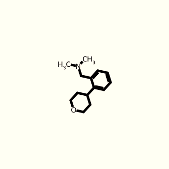 CN(C)Cc1ccccc1C1CCOCC1